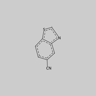 N#Cc1ccc2s[c]nc2c1